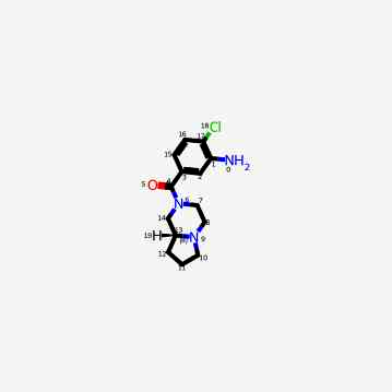 Nc1cc(C(=O)N2CCN3CCC[C@@H]3C2)ccc1Cl